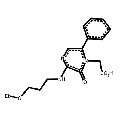 CCOCCCNc1ncc(-c2ccccc2)n(CC(=O)O)c1=O